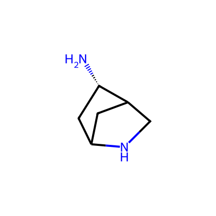 N[C@H]1CC2CC1CN2